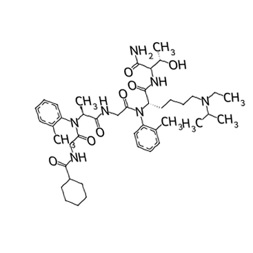 CCN(CCCC[C@@H](C(=O)NC(C(N)=O)[C@H](C)O)N(C(=O)CNC(=O)[C@H](C)N(C(=O)CNC(=O)C1CCCCC1)c1ccccc1C)c1ccccc1C)C(C)C